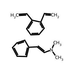 C=Cc1ccccc1C=C.CN(C)C=Cc1ccccc1